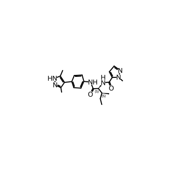 CC[C@H](C)[C@H](NC(=O)c1ccnn1C)C(=O)Nc1ccc(-c2c(C)n[nH]c2C)cc1